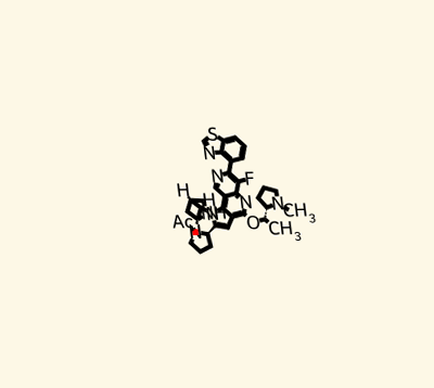 CC(=O)N1CCC[C@@H]1c1cc2c(OC(C)[C@@H]3CCCN3C)nc3c(F)c(-c4cccc5scnc45)ncc3c2n1[C@H]1[C@H]2CN[C@@H]1C2